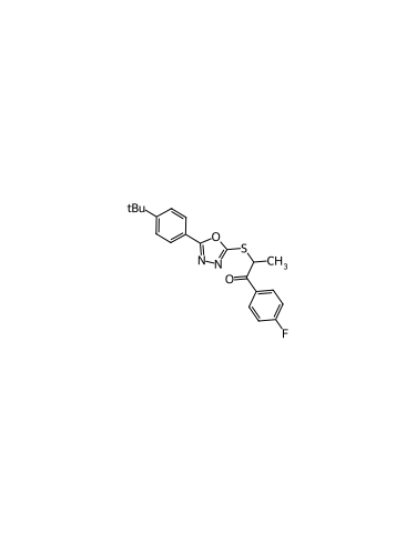 CC(Sc1nnc(-c2ccc(C(C)(C)C)cc2)o1)C(=O)c1ccc(F)cc1